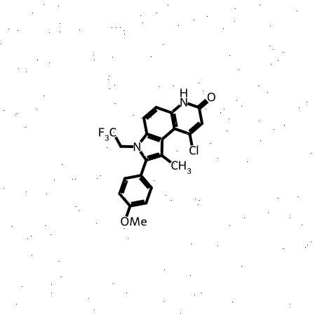 COc1ccc(-c2c(C)c3c4c(Cl)cc(=O)[nH]c4ccc3n2CC(F)(F)F)cc1